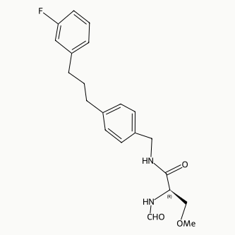 COC[C@@H](NC=O)C(=O)NCc1ccc(CCCc2cccc(F)c2)cc1